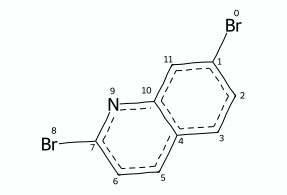 Brc1ccc2ccc(Br)nc2c1